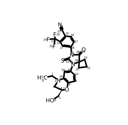 CCN1C[C@H](CO)Oc2ccc(N3C(=S)N(c4ccc(C#N)c(C(F)(F)F)c4)C(=O)C34CCC4)cc21